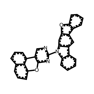 c1cc2c3c(cccc3c1)-c1cnc(-n3c4ccccc4c4cc5c(cc43)oc3ccccc35)nc1O2